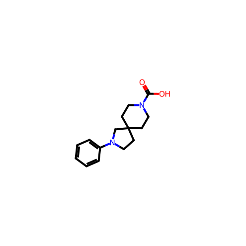 O=C(O)N1CCC2(CC1)CCN(c1ccccc1)C2